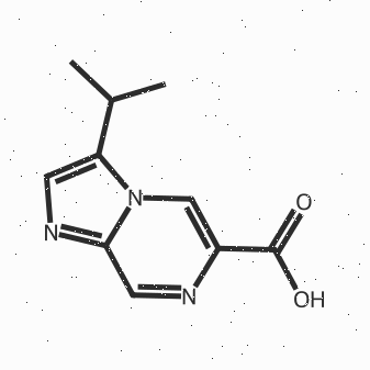 CC(C)c1cnc2cnc(C(=O)O)cn12